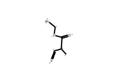 CC(C)COC(=O)C(C)[C]=S